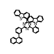 c1cc(-c2nc(-c3ccccc3-n3c4ccccc4c4ccccc43)nc(-c3cccc4c3sc3ccccc34)n2)cc(-c2cccc3ccccc23)c1